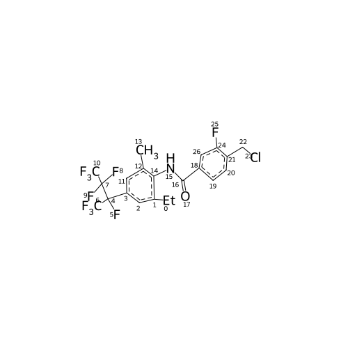 CCc1cc(C(F)(C(F)(F)F)C(F)(F)C(F)(F)F)cc(C)c1NC(=O)c1ccc(CCl)c(F)c1